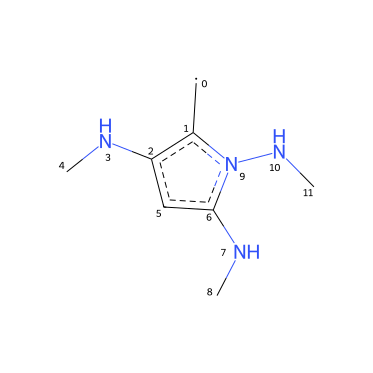 [CH2]c1c(NC)cc(NC)n1NC